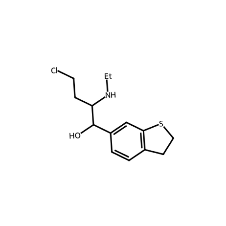 CCNC(CCCl)C(O)c1ccc2c(c1)SCC2